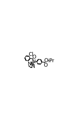 CC(C)OC(=O)c1ccc(N(C(=O)c2ccccc2Cl)n2nccn2)cc1